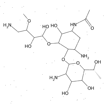 COC(CN)C(O)C(O)OC1C(O)C(NC(C)=O)CC(N)C1OC1OC([C@@H](C)O)C(O)C(O)C1N